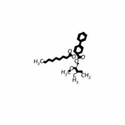 CCCCCCCCC(=O)OC1(C(=O)OC[C@@H](OC)[C@@H](C)CC)C=CC(c2ccccc2)=CC1